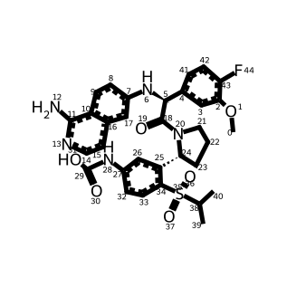 COc1cc([C@H](Nc2ccc3c(N)nccc3c2)C(=O)N2CCC[C@@H]2c2cc(NC(=O)O)ccc2S(=O)(=O)C(C)C)ccc1F